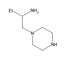 CCC(N)CN1CCNCC1